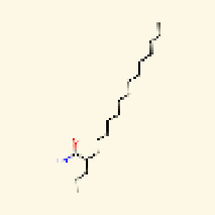 C=CC=CCCCCCCCCCCC(CCC)C(N)=O